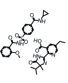 CCc1cnc(C2=NC(C)(C(C)C)C(=O)N2)c(C(=O)O)c1.COc1ccccc1C(=O)NS(=O)(=O)c1ccc(C(=O)NC2CC2)cc1